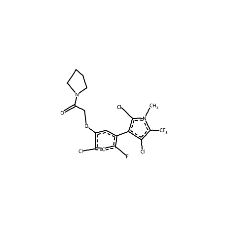 Cn1c(Cl)c(-c2cc(OCC(=O)N3CCCC3)c(Cl)cc2F)c(Cl)c1C(F)(F)F